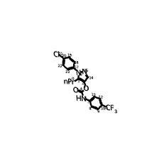 CCCc1c(OC(=O)Nc2ccc(C(F)(F)F)cc2)cnn1-c1ccc(Cl)cc1